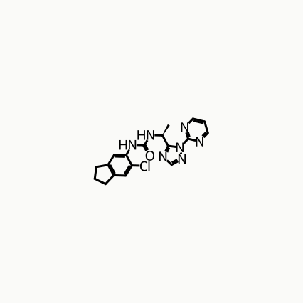 C[C@H](NC(=O)Nc1cc2c(cc1Cl)CCC2)c1ncnn1-c1ncccn1